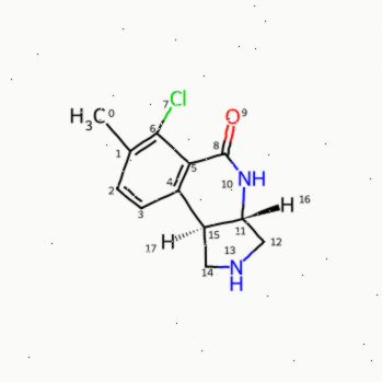 Cc1ccc2c(c1Cl)C(=O)N[C@@H]1CNC[C@@H]21